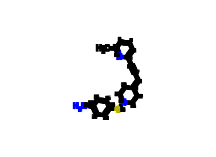 Cc1cccc(C#CC=C2CCN(Sc3ccc(N)cc3)CC2)n1